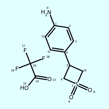 Nc1ccc(C2CS(=O)(=O)C2)cc1.O=C(O)C(F)(F)F